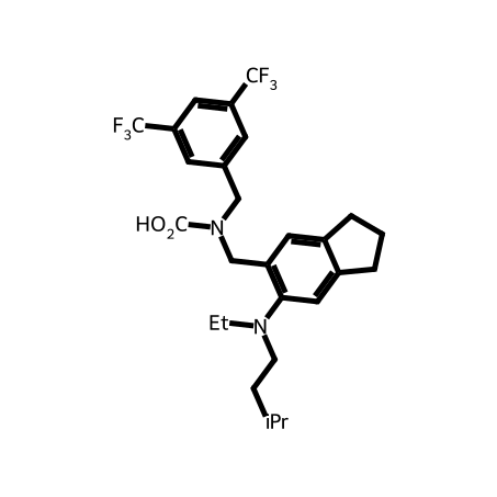 CCN(CCC(C)C)c1cc2c(cc1CN(Cc1cc(C(F)(F)F)cc(C(F)(F)F)c1)C(=O)O)CCC2